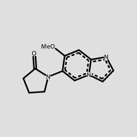 COc1cc2nccn2cc1N1CCCC1=O